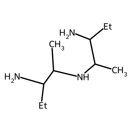 CCC(N)C(C)NC(C)C(N)CC